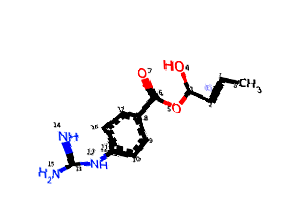 C/C=C/C(O)OC(=O)c1ccc(NC(=N)N)cc1